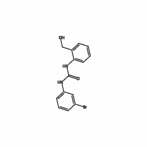 O=C(Nc1cccc(Br)c1)Nc1ccccc1CO